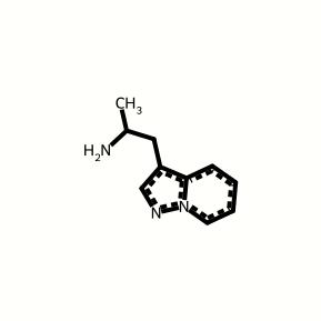 CC(N)Cc1cnn2ccccc12